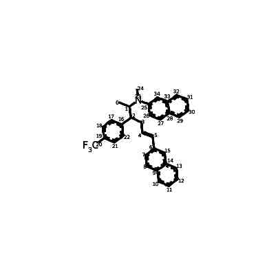 CC(C(C/C=C/c1ccc2ccccc2c1)c1ccc(C(F)(F)F)cc1)N(C)c1ccc2ccccc2c1